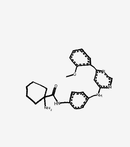 COc1ccccc1-c1cc(Nc2ccc(NC(=O)C3(N)CCCCC3)cc2)ncn1